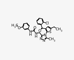 CCc1cc(C(=O)c2ccccc2Cl)c(-n2c(C)nnc2CNC(=O)Nc2cccc(OC)c2)s1